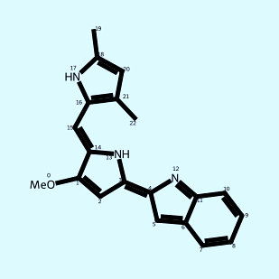 COc1c/c(=C2\C=c3ccccc3=N2)[nH]c1=Cc1[nH]c(C)cc1C